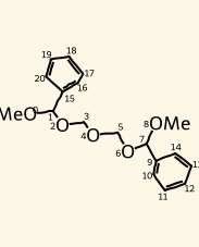 COC(OCOCOC(OC)c1ccccc1)c1ccccc1